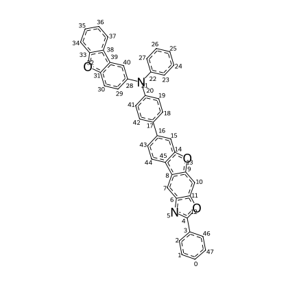 c1ccc(-c2nc3cc4c(cc3o2)oc2cc(-c3ccc(N(c5ccccc5)c5ccc6oc7ccccc7c6c5)cc3)ccc24)cc1